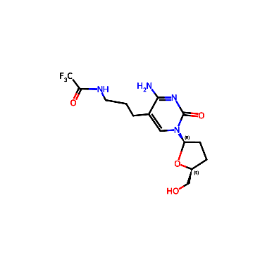 Nc1nc(=O)n([C@H]2CC[C@@H](CO)O2)cc1CCCNC(=O)C(F)(F)F